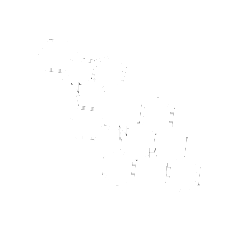 c1ccc2c(c1)Cc1cccc3c1B2c1cccc2c4ccc5c(c6cccc7c8ccccc8n5c76)c4n-3c12